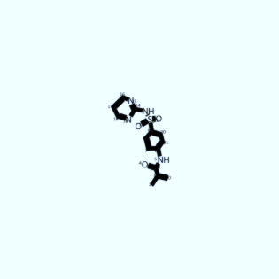 C=C(C)C(=O)Nc1ccc(S(=O)(=O)Nc2ncccn2)cc1